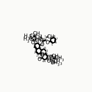 CC[C@H](Oc1ccccc1)C(=O)OC1CC(O[Si](C)(C)C(C)(C)C)C=C2C=CC(C)C(CC[C@@H]3C[C@@H](O[Si](C)(C)C(C)(C)C)CC(=O)O3)C21